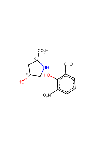 O=C(O)[C@@H]1C[C@@H](O)CN1.O=Cc1cccc([N+](=O)[O-])c1O